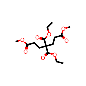 CCOC(=O)C(CCC(=O)OC)(CCC(=O)OC)C(=O)OCC